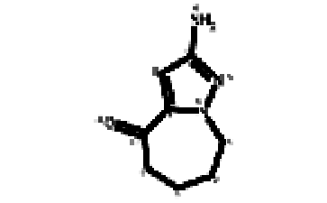 Nc1cc2n(n1)CCCCC2=O